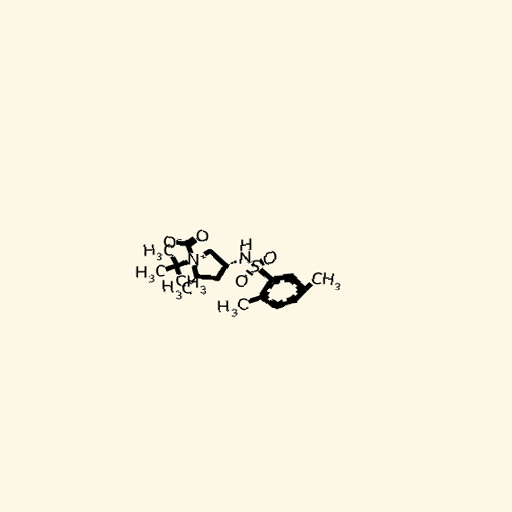 Cc1ccc(C)c(S(=O)(=O)N[C@@H]2C[C@H](C)[N+](C(=O)[O-])(C(C)(C)C)C2)c1